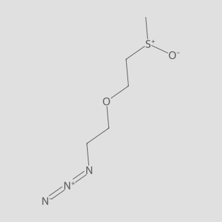 C[S+]([O-])CCOCCN=[N+]=[N-]